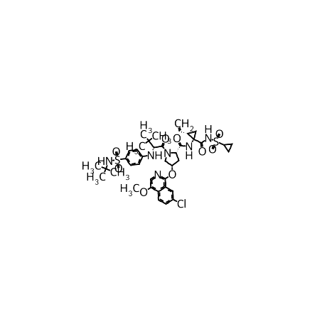 C=C[C@@H]1C[C@]1(NC(=O)[C@@H]1C[C@@H](Oc2ncc(OC)c3ccc(Cl)cc23)CN1C(=O)[C@H](Nc1ccc(S(=O)(=O)NC(C)(C)C)cc1)C(C)(C)C)C(=O)NS(=O)(=O)C1CC1